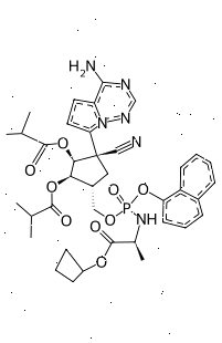 CC(C)C(=O)O[C@@H]1[C@@H](COP(=O)(N[C@@H](C)C(=O)OC2CCC2)Oc2cccc3ccccc23)C[C@@](C#N)(c2ccc3c(N)ncnn23)[C@@H]1OC(=O)C(C)C